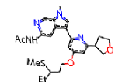 CCC(CCOc1cc(-c2cn(C)c3cnc(NC(C)=O)cc23)nc(C2CCOC2)c1)SC